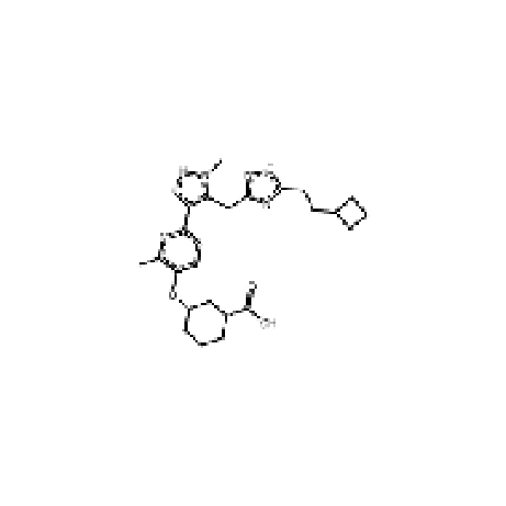 Cc1nc(-c2nnn(C)c2Cc2noc(CCC3CCC3)n2)ccc1O[C@H]1CCC[C@H](C(=O)O)C1